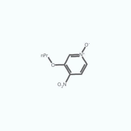 CCCOc1c[n+]([O-])ccc1[N+](=O)[O-]